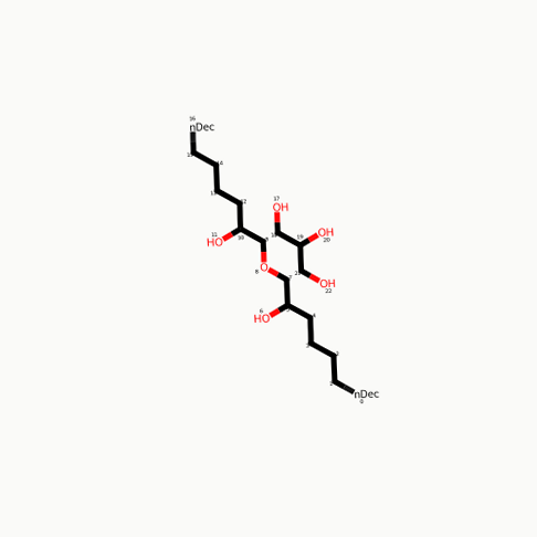 CCCCCCCCCCCCCCC(O)COCC(O)CCCCCCCCCCCCCC.OCC(O)CO